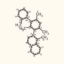 Cc1cc(C)c(-[n+]2ccc3ccccc3c2C)c(C)c1-[n+]1ccccc1C